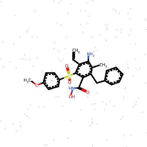 C=Cc1c(N)c(C)c(Cc2ccccc2)c(C(=O)NO)c1S(=O)(=O)c1ccc(OC)cc1